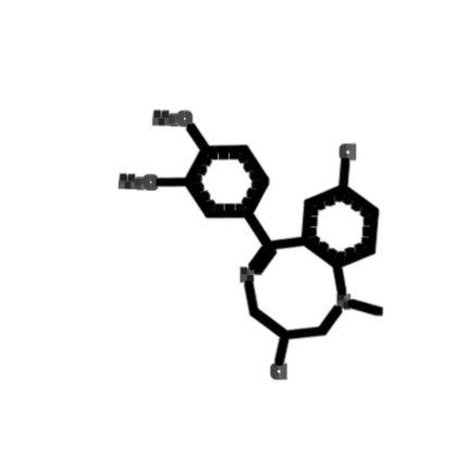 COc1ccc(/C2=N/CC(Cl)CN(C)c3ccc(Cl)cc32)cc1OC